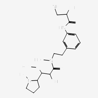 COC(C(C)C(=O)N(C)CCc1cccc(NC(=O)C(C)CN)c1)C1CCCN1C